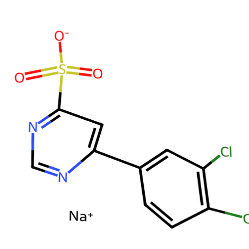 O=S(=O)([O-])c1cc(-c2ccc(Cl)c(Cl)c2)ncn1.[Na+]